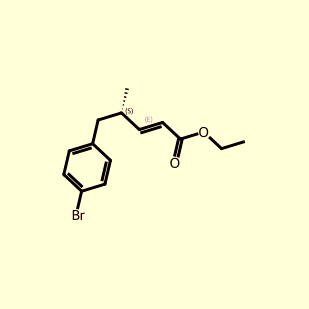 CCOC(=O)/C=C/[C@@H](C)Cc1ccc(Br)cc1